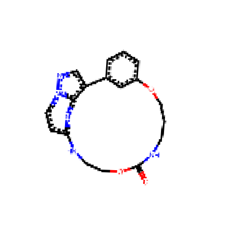 O=C1NCCCOc2cccc(c2)-c2cnn3ccc(nc23)NCCO1